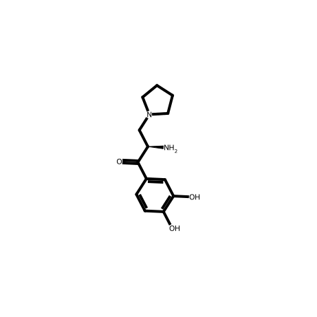 N[C@H](CN1CCCC1)C(=O)c1ccc(O)c(O)c1